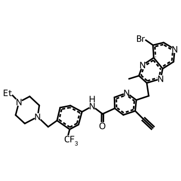 C#Cc1cc(C(=O)Nc2ccc(CN3CCN(CC)CC3)c(C(F)(F)F)c2)cnc1Cc1nc2cncc(Br)c2nc1C